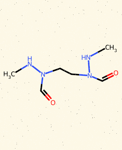 CNN(C=O)CCN(C=O)NC